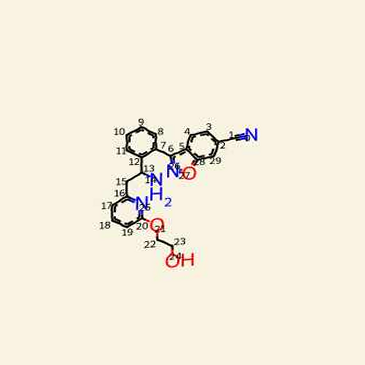 N#Cc1ccc2c(-c3ccccc3C(N)Cc3cccc(OCCO)n3)noc2c1